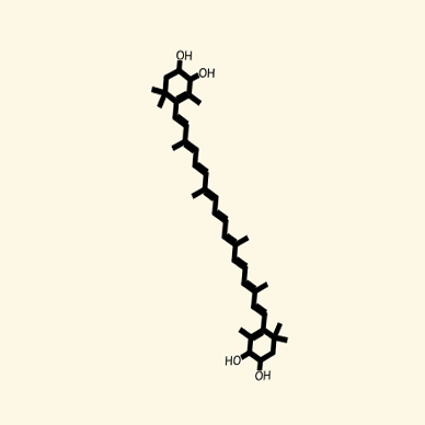 CC1=C(/C=C/C(C)=C/C=C/C(C)=C/C=C/C=C(C)/C=C/C=C(C)/C=C/C2=C(C)C(O)C(O)CC2(C)C)C(C)(C)CC(O)C1O